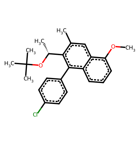 COc1cccc2c(-c3ccc(Cl)cc3)c([C@@H](C)OC(C)(C)C)c(C)cc12